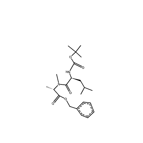 CC(C)C[C@H](NC(=O)OC(C)(C)C)C(=O)N(C)[C@@H](C)C(=O)OCc1ccccc1